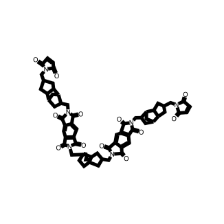 O=C1C=CC(=O)N1CC1CC2C3CC(Cn4c(=O)c5cc6c(=O)n(CC7CC8C9CCC8(CCC9Cn8c(=O)c9cc%10c(=O)n(CC%11CC%12CC%11C%11CC(CN%13C(=O)C=CC%13=O)CC%12%11)c(=O)c%10cc9c8=O)C7)c(=O)c6cc5c4=O)C(C3)C2C1